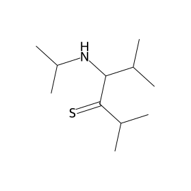 CC(C)NC(C(=S)C(C)C)C(C)C